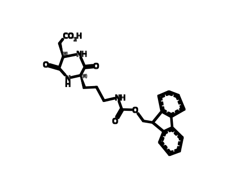 O=C(O)C[C@H]1NC(=O)[C@@H](CCCNC(=O)OCC2c3ccccc3-c3ccccc32)NC1=O